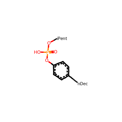 CCCCCCCCCCc1ccc(OP(=O)(O)OC(C)CCC)cc1